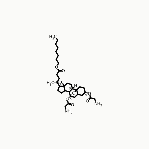 CCCCCCCCOC(=O)CC[C@@H](C)C1CCC2C3[C@H](OC(=O)CN)CC4C[C@H](OC(=O)CN)CCC4(C)[C@H]3CCC21C